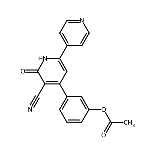 CC(=O)Oc1cccc(-c2cc(-c3ccncc3)[nH]c(=O)c2C#N)c1